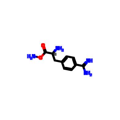 N=C(N)c1ccc(C[C@H](N)C(=O)ON)cc1